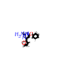 Nc1nc(OC2CCCCC2)cc(-c2ccco2)n1